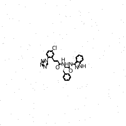 O=C(C=Cc1cc(Cl)ccc1-n1cnnn1)N[C@@H](Cc1ccccc1)C(=O)Nc1n[nH]c2ccccc12